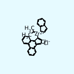 C[C](C)=[Zr+2]([C]1=CC=c2c1c1c(c3ccccc23)=CC=CC1)[CH]1C=Cc2ccccc21.[Cl-].[Cl-]